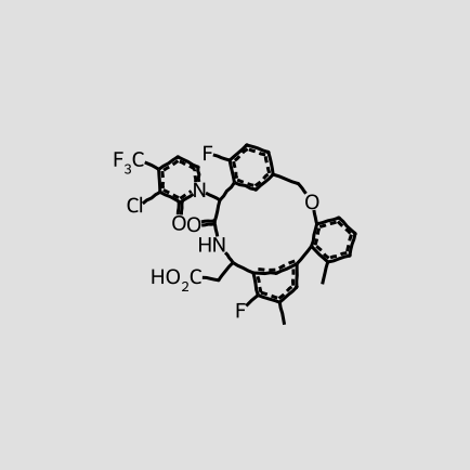 Cc1cc2cc(c1F)C(CC(=O)O)NC(=O)C(n1ccc(C(F)(F)F)c(Cl)c1=O)c1cc(ccc1F)COc1cccc(C)c1-2